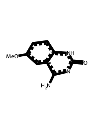 COc1ccc2[nH]c(=O)nc(N)c2c1